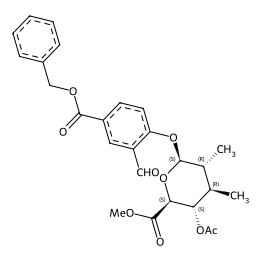 COC(=O)[C@H]1O[C@@H](Oc2ccc(C(=O)OCc3ccccc3)cc2C=O)[C@H](C)[C@@H](C)[C@@H]1OC(C)=O